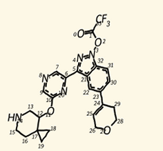 O=C(On1nc(-c2cncc(OC3CNCCC34CC4)n2)c2cc(C3=CCOCC3)ccc21)C(F)(F)F